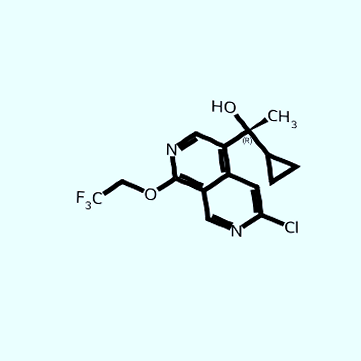 C[C@](O)(c1cnc(OCC(F)(F)F)c2cnc(Cl)cc12)C1CC1